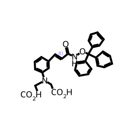 O=C(O)CN(CC(=O)O)c1cccc(/C=C/C(=O)NOC(c2ccccc2)(c2ccccc2)c2ccccc2)c1